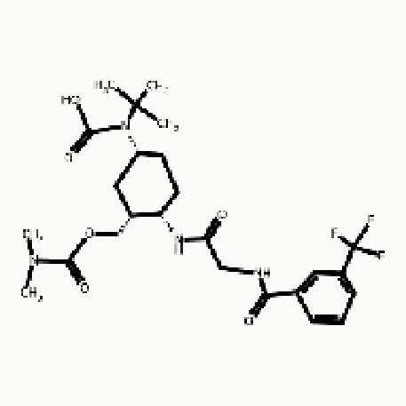 CN(C)C(=O)OC[C@@H]1C[C@H](N(C(=O)O)C(C)(C)C)CC[C@@H]1NC(=O)CNC(=O)c1cccc(C(F)(F)F)c1